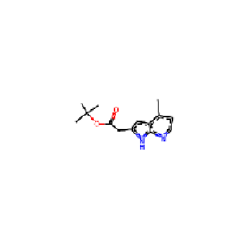 Cc1ccnc2[nH]c(CC(=O)OC(C)(C)C)cc12